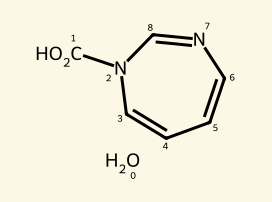 O.O=C(O)N1C=CC=CN=C1